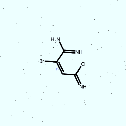 N=C(Cl)/C=C(/Br)C(=N)N